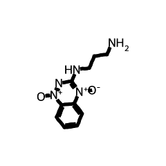 NCCCNc1n[n+]([O-])c2ccccc2[n+]1[O-]